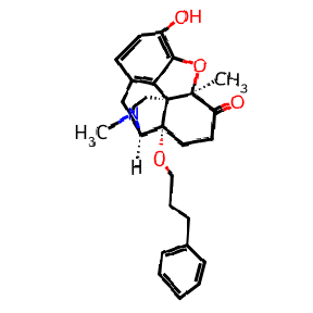 CN1CC[C@]23c4c5ccc(O)c4O[C@@]2(C)C(=O)CC[C@@]3(OCCCc2ccccc2)[C@H]1C5